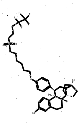 C[C@]12C[C@H](c3ccc(OCCCCCCS(=O)(=O)CCCC(F)(F)C(F)(F)F)cc3)[C@@H]3c4ccc(O)cc4CC[C@H]3[C@]13CC[C@]2(O)CC3